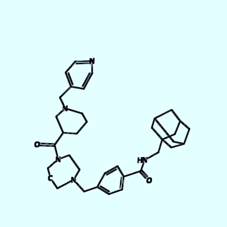 O=C(NCC12CC3CC(CC(C3)C1)C2)c1ccc(CN2CCCN(C(=O)C3CCCN(Cc4ccncc4)C3)CC2)cc1